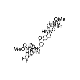 COC(=O)N[C@H](C(=O)C1[C@@H](C)CC[C@H]1c1nc2ccc3cc4c(cc3c2[nH]1)OCc1cc(-c2cnc([C@@H]3C[C@H](COC(F)F)CN3C(=O)[C@@H](NC(=O)OC)C(C)C)[nH]2)ccc1-4)C(C)C